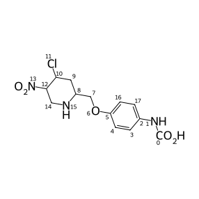 O=C(O)Nc1ccc(OCC2CC(Cl)C([N+](=O)[O-])CN2)cc1